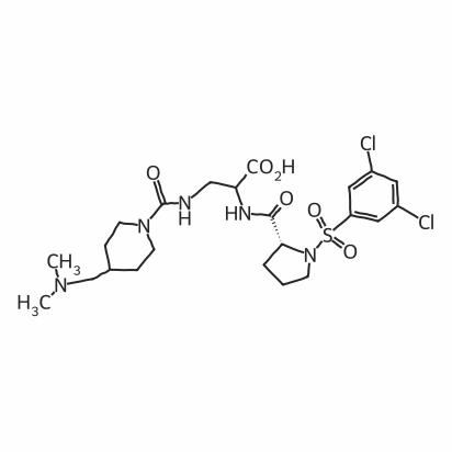 CN(C)CC1CCN(C(=O)NCC(NC(=O)[C@H]2CCCN2S(=O)(=O)c2cc(Cl)cc(Cl)c2)C(=O)O)CC1